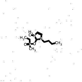 CCCCN1C=CN(C)C1OP(C)(=O)CC